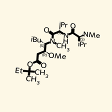 CCC(C)[C@@H]([C@@H](CC(=O)OC(C)(C)CC)OC)N(C)C(=O)[C@@H](NC(=O)[C@@H](NC)C(C)C)C(C)C